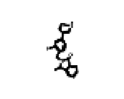 CC1c2ccccc2C(=O)N1Cc1ccc(-c2ccn(C)c2)cc1F